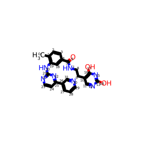 Cc1ccc(C(=O)NCCc2cnc(O)nc2O)cc1Nc1nccc(-c2cccnc2)n1